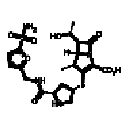 C[C@@H](O)[C@H]1C(=O)N2C(C(=O)O)=C(S[C@@H]3CN[C@H](C(=O)NCc4ccc(S(N)(=O)=O)o4)C3)[C@H](C)[C@H]12